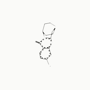 O=c1c2ccc(Br)cc2nc2n1C1CCN(CC1)C2